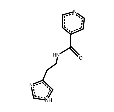 O=C(NCCc1c[nH]cn1)c1ccncc1